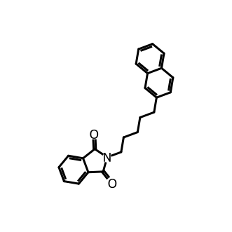 O=C1c2ccccc2C(=O)N1CCCCCc1ccc2ccccc2c1